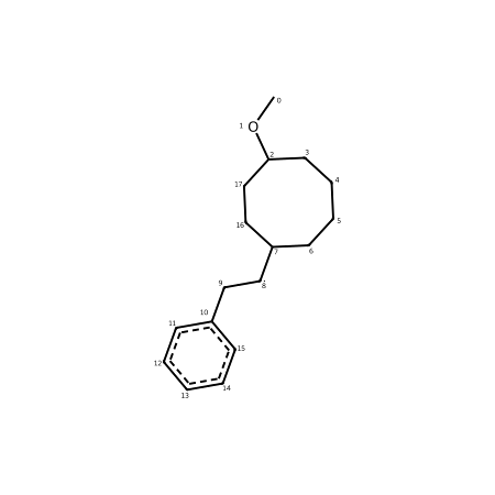 COC1CCCCC([CH]Cc2ccccc2)CC1